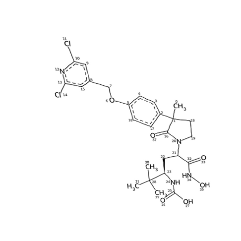 CC1(c2ccc(OCc3cc(Cl)nc(Cl)c3)cc2)CCN(C(C[C@@H](NC(=O)O)C(C)(C)C)C(=O)NO)C1=O